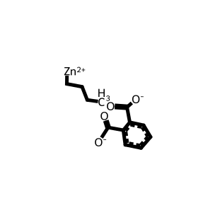 CCC[CH2][Zn+2].O=C([O-])c1ccccc1C(=O)[O-]